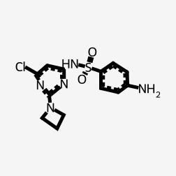 Nc1ccc(S(=O)(=O)Nc2cc(Cl)nc(N3CCC3)n2)cc1